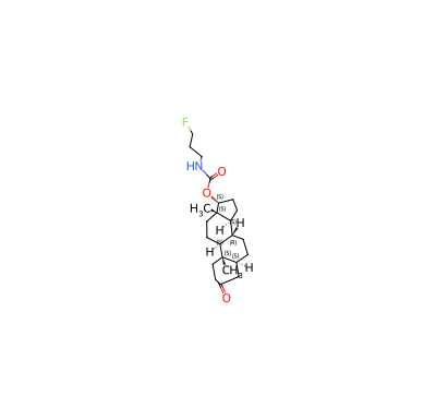 C[C@]12CCC(=O)C[C@@H]1CC[C@@H]1[C@@H]2CC[C@]2(C)[C@@H](OC(=O)NCCCF)CC[C@@H]12